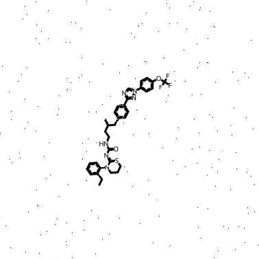 CCc1ccccc1N1CCCS/C1=N\C(=O)NCCC(C)Cc1ccc(-c2ncn(-c3ccc(OC(F)(F)F)cc3)n2)cc1